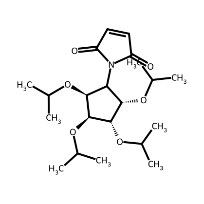 CC(C)O[C@@H]1[C@@H](OC(C)C)[C@@H](OC(C)C)C(N2C(=O)C=CC2=O)[C@@H]1OC(C)C